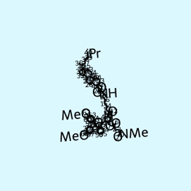 CNC(=O)CCC(=O)OC1CN(C(=O)CCCCCNC(=O)OC2CC[C@@]3(C)C(=CCC4C5CCC(C(C)CCCC(C)C)[C@@]5(C)CCC43)C2)CC1COC(c1ccccc1)(c1ccc(OC)cc1)c1ccc(OC)cc1